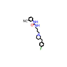 N#Cc1cccc(NC(=O)NCCCCN2CCCC(Cc3ccc(F)cc3)C2)c1